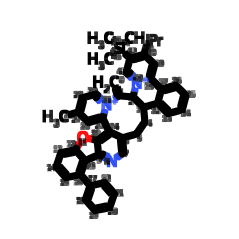 C=C1C2C(CCc3cnc4c(oc5cccc(-c6ccccc6)c54)c3-c3cc(C)cc[n+]31)c1ccccc1-c1cc(C(C)C)c([Si](C)(C)C)c[n+]12